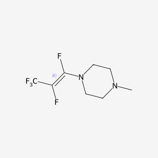 CN1CCN(/C(F)=C(\F)C(F)(F)F)CC1